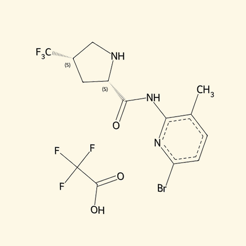 Cc1ccc(Br)nc1NC(=O)[C@@H]1C[C@H](C(F)(F)F)CN1.O=C(O)C(F)(F)F